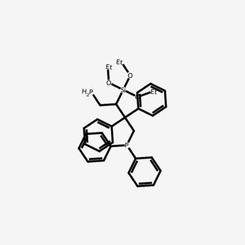 CCO[Si](OCC)(OCC)C(CP)C(CP(c1ccccc1)c1ccccc1)(c1ccccc1)c1ccccc1